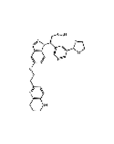 O=C(O)CC(c1cncc(C2OCCO2)c1)n1ncc2cc(OCCc3ccc4c(n3)CCCN4)ccc21